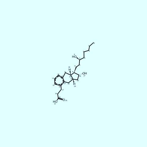 CCCCC[C@H](O)CC[C@@H]1[C@H]2Cc3cccc(CCC(=O)O)c3C[C@H]2C[C@H]1O